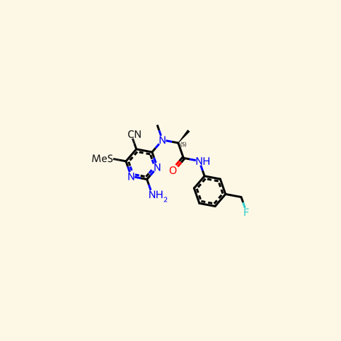 CSc1nc(N)nc(N(C)[C@@H](C)C(=O)Nc2cccc(CF)c2)c1C#N